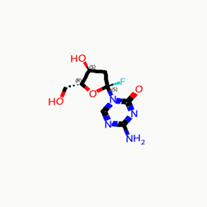 Nc1ncn([C@@]2(F)C[C@H](O)[C@@H](CO)O2)c(=O)n1